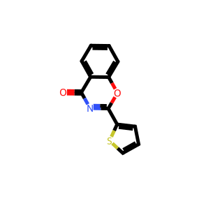 O=c1nc(-c2cccs2)oc2ccccc12